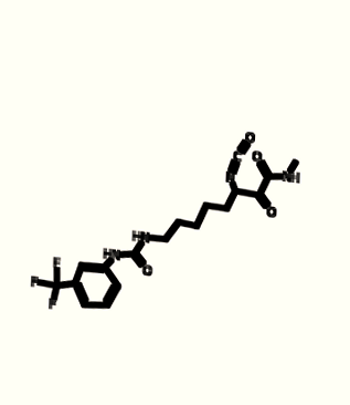 CNC(=O)C(=O)C(CCCCCNC(=O)Nc1cccc(C(F)(F)F)c1)N=C=O